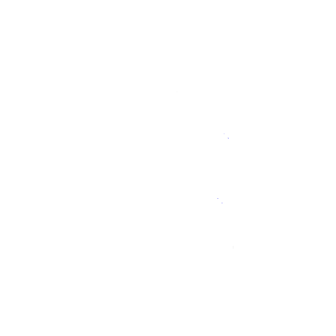 CCOC(=O)C1=C(C)NC(C)(c2nc(C(=O)OCC)cs2)C(C(=O)OCC)C1c1ccccc1